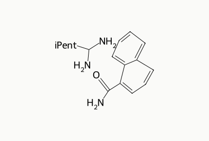 CCCC(C)C(N)N.NC(=O)c1cccc2ccccc12